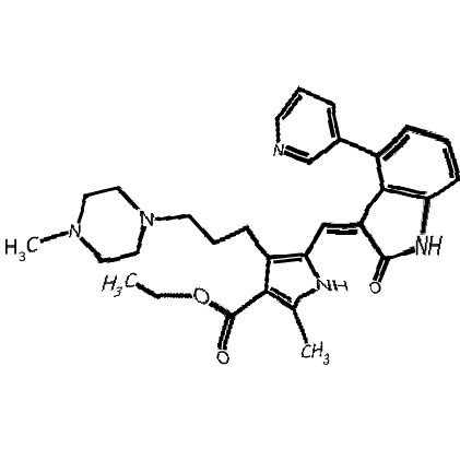 CCOC(=O)c1c(C)[nH]c(/C=C2\C(=O)Nc3cccc(-c4cccnc4)c32)c1CCCN1CCN(C)CC1